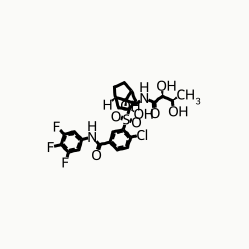 C[C@@H](O)[C@H](O)C(=O)NC[C@@]1(O)C2CC[C@H]1C[C@](O)(S(=O)(=O)c1cc(C(=O)Nc3cc(F)c(F)c(F)c3)ccc1Cl)C2